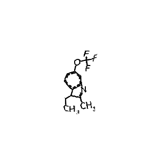 CCC1C(C)=Nc2cc(OC(F)(F)F)ccc21